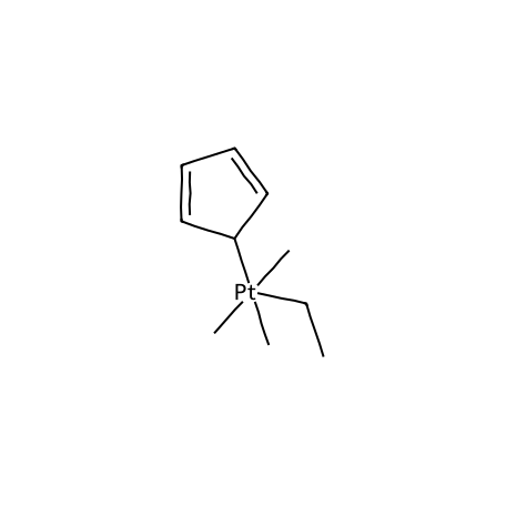 C[CH2][Pt]([CH3])([CH3])([CH3])[CH]1C=CC=C1